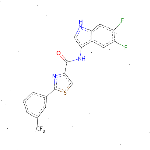 O=C(Nc1c[nH]c2cc(F)c(F)cc12)c1csc(-c2cccc(C(F)(F)F)c2)n1